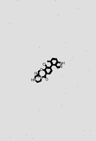 Cc1ccc2[nH]ncc2c1-c1ccc2c(c1Cl)OC[C@H]1CNCCN1C2=O